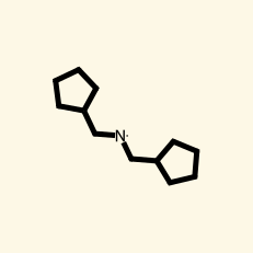 C1CCC(C[N]CC2CCCC2)C1